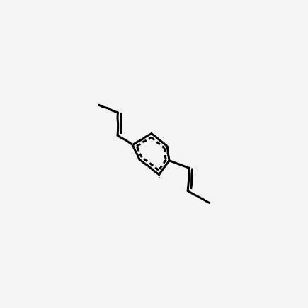 CC=Cc1[c]cc(C=CC)cc1